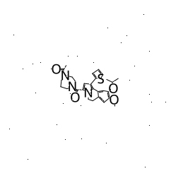 COc1cc2c(cc1OC(C)C)-c1c(-c3cccs3)cc(C(=O)N3CCCN(C(C)=O)CC3)n1CC2